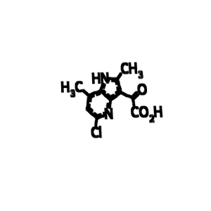 Cc1[nH]c2c(C)cc(Cl)nc2c1C(=O)C(=O)O